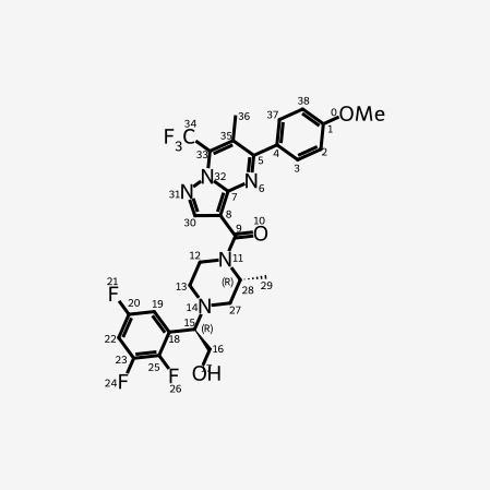 COc1ccc(-c2nc3c(C(=O)N4CCN([C@@H](CO)c5cc(F)cc(F)c5F)C[C@H]4C)cnn3c(C(F)(F)F)c2C)cc1